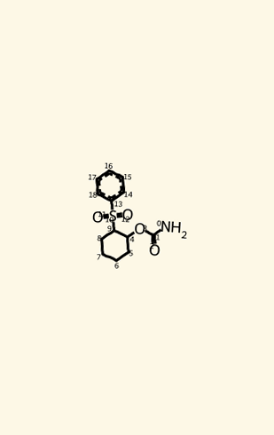 NC(=O)OC1CCCCC1S(=O)(=O)c1ccccc1